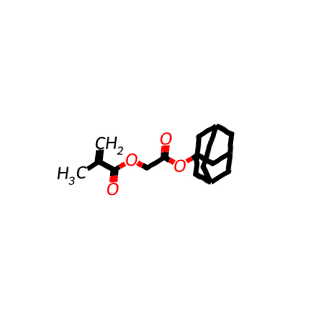 C=C(C)C(=O)OCC(=O)OC12CC3CC(CC(C3)C1)C2